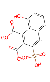 O=C(O)c1c(S(=O)(=O)O)[c]c2cccc(O)c2c1C(=O)O